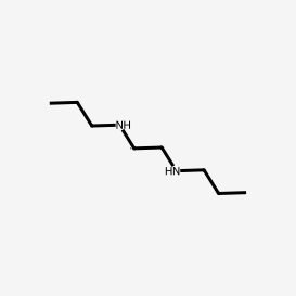 CCCN[CH]CNCCC